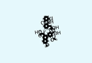 CC(=O)Oc1ccccc1C(=O)O.COc1ccc2cc([C@H](C)C(=O)O)ccc2c1.O=C(O)Cc1ccccc1Nc1c(Cl)cccc1Cl